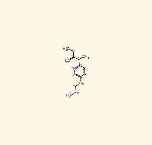 C=C(CC)C(C)c1ccc(OCCP)cn1